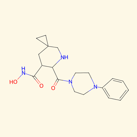 O=C(NO)C1CC2(CC2)CNC1C(=O)N1CCN(c2ccccc2)CC1